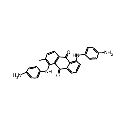 Cc1ccc2c(c1Nc1ccc(N)cc1)C(=O)c1cccc(Nc3ccc(N)cc3)c1C2=O